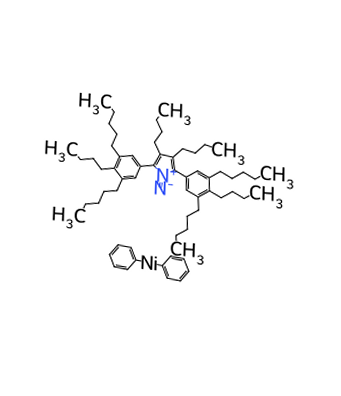 CCCCCc1cc(C2=C(CCCC)C(CCCC)=C(c3cc(CCCCC)c(CCCC)c(CCCCC)c3)[N+]2=[N-])cc(CCCCC)c1CCCC.c1cc[c]([Ni][c]2ccccc2)cc1